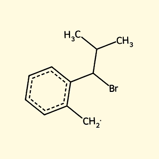 [CH2]c1ccccc1C(Br)C(C)C